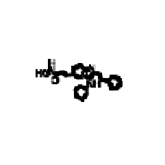 O=C(C=Cc1ccc2nc(CCc3ccccc3)c(NC3CCCCC3)n2c1)NO